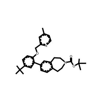 Cc1ccnc(COc2ccc(C(C)(C)C)cc2-c2ccc3c(c2)CCN(C(=O)OC(C)(C)C)CC3)c1